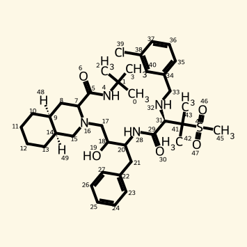 CC(C)(C)NC(=O)C1C[C@@H]2CCCC[C@@H]2CN1CC(O)C(Cc1ccccc1)NC(=O)[C@@H](NCc1cccc(Cl)c1)C(C)(C)S(C)(=O)=O